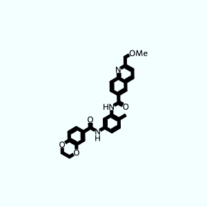 COCc1ccc2cc(C(=O)Nc3cc(NC(=O)c4ccc5c(c4)OCCO5)ccc3C)ccc2n1